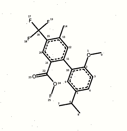 COc1ccc(C(C)C)cc1-c1cc(C)c(C(F)(F)F)cc1C(=O)OF